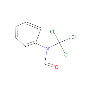 O=CN(c1ccccc1)C(Cl)(Cl)Cl